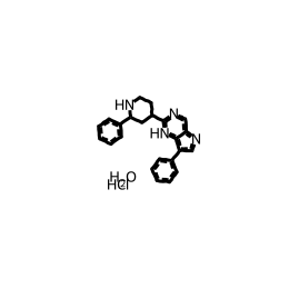 Cl.O.c1ccc(-c2cnc3cnc(C4CCNC(c5ccccc5)C4)[nH]c2-3)cc1